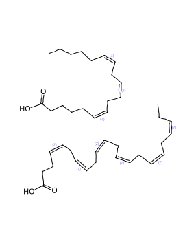 CC/C=C\C/C=C\C/C=C\C/C=C\C/C=C\C/C=C\CCC(=O)O.CCCCC/C=C\C/C=C\C/C=C\CCCCC(=O)O